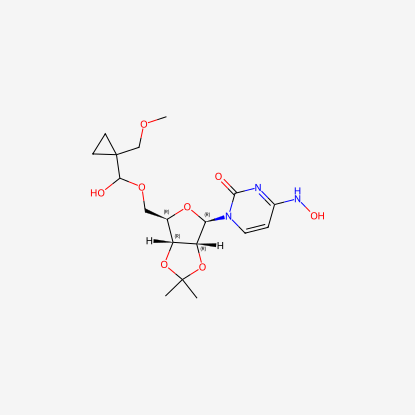 COCC1(C(O)OC[C@H]2O[C@@H](n3ccc(NO)nc3=O)[C@@H]3OC(C)(C)O[C@@H]32)CC1